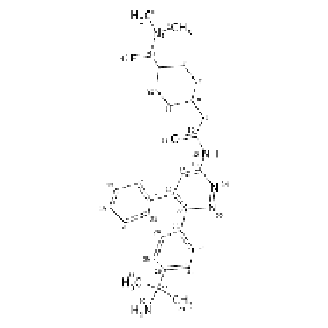 CN(C)C(=O)C1CCC(CC(=O)Nc2cc(-c3ccccc3)c(-c3ccc(C(C)(C)N)cc3)nn2)CC1